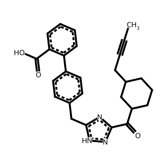 CC#CCC1CCCC(C(=O)c2n[nH]c(Cc3ccc(-c4ccccc4C(=O)O)cc3)n2)C1